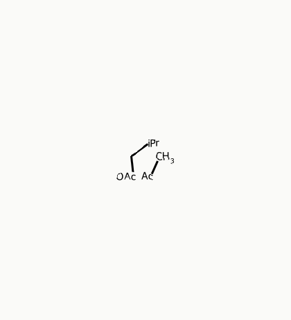 CC(=O)OCC(C)C.CC(C)=O